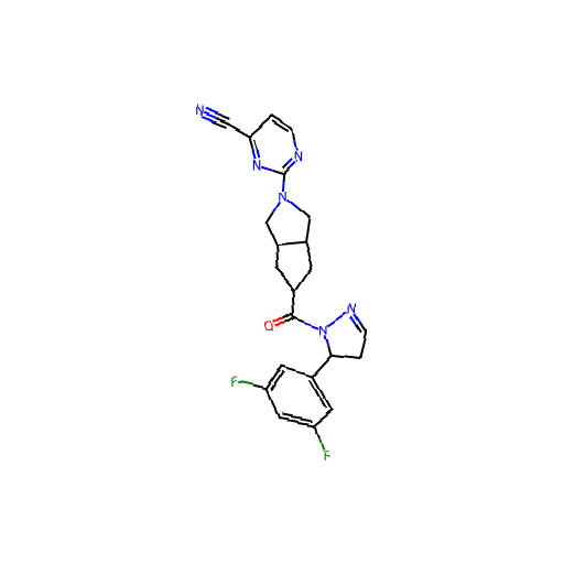 N#Cc1ccnc(N2CC3CC(C(=O)N4N=CCC4c4cc(F)cc(F)c4)CC3C2)n1